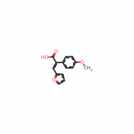 COc1ccc(/C(=C\c2ccco2)C(=O)O)cc1